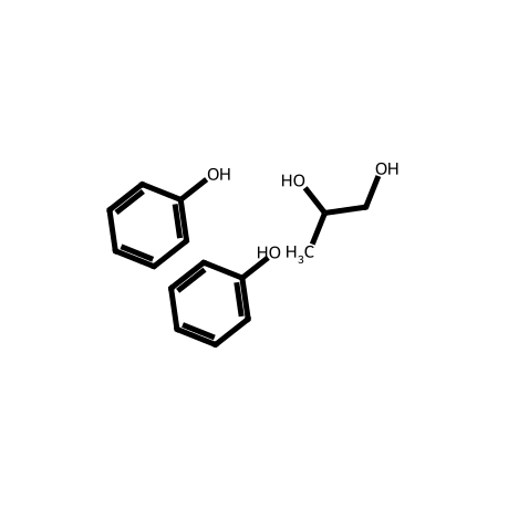 CC(O)CO.Oc1ccccc1.Oc1ccccc1